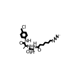 CC(C)[C@H](NC(=O)CCCCCN=[N+]=[N-])C(=O)N[C@@H](C)C(=O)Nc1ccc(CCl)cc1